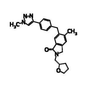 Cc1cc2c(cc1Cc1ccc(-c3cn(C)nn3)cc1)C(=O)N(CC1CCCO1)C2